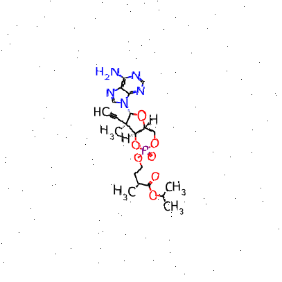 C#C[C@]1(C)[C@@H]2O[P@](=O)(OCC[C@H](C)C(=O)OC(C)C)OC[C@H]2O[C@H]1n1cnc2c(N)ncnc21